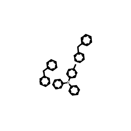 Cc1ccc(N(c2ccccc2)c2ccccc2)cc1.c1ccc(Cc2ccccc2)cc1.c1ccc(Cc2ccccc2)cc1